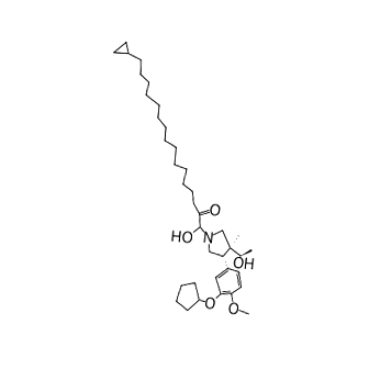 COc1ccc([C@@H]2CN(C(O)C(=O)CCCCCCCCCCCCCCC3CC3)C[C@@]2(C)[C@@H](C)O)cc1OC1CCCC1